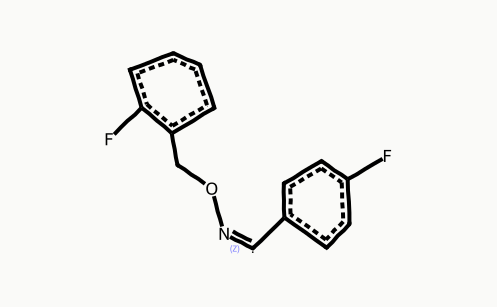 Fc1ccc(/[C]=N\OCc2ccccc2F)cc1